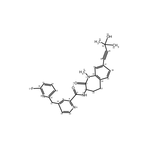 CN1C(=O)C(NC(=O)c2cc(Cc3cccc(F)n3)ccn2)CCc2ccc(C#CC(C)(C)O)cc21